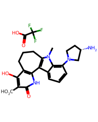 Cn1c2c(c3cccc(N4CC[C@H](N)C4)c31)-c1[nH]c(=O)c(C(=O)O)c(O)c1CCC2.O=C(O)C(F)(F)F